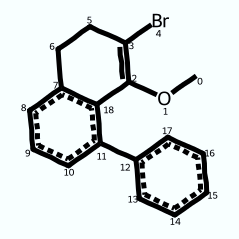 COC1=C(Br)CCc2cccc(-c3ccccc3)c21